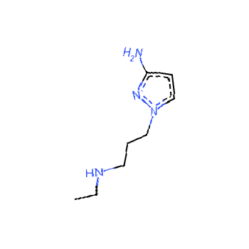 CCNCCCn1ccc(N)n1